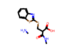 CN.CNC(=O)C(CSc1nc2ccccc2s1)C(=O)O